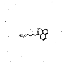 CCCc1cccc2cccc(C(=O)CCCCC(=O)O)c12